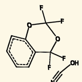 FC1(F)Oc2ccccc2C(F)(F)O1.N#CO